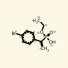 C=C(c1ccc(Br)cc1)P(=O)(O)OCC